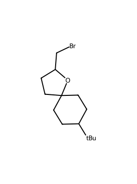 CC(C)(C)C1CCC2(CCC(CBr)O2)CC1